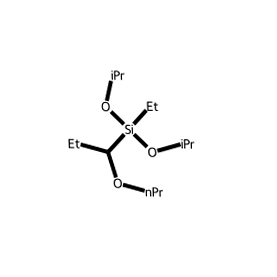 CCCOC(CC)[Si](CC)(OC(C)C)OC(C)C